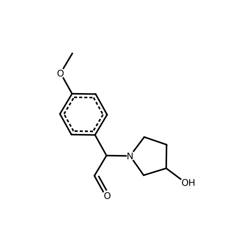 COc1ccc(C(C=O)N2CCC(O)C2)cc1